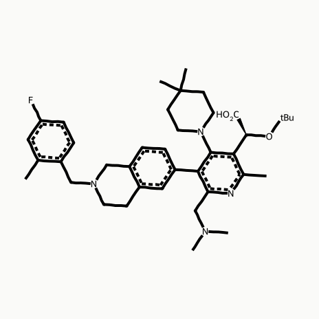 Cc1cc(F)ccc1CN1CCc2cc(-c3c(CN(C)C)nc(C)c([C@H](OC(C)(C)C)C(=O)O)c3N3CCC(C)(C)CC3)ccc2C1